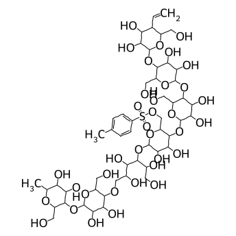 C=CC1C(CO)OC(OC2C(CO)OC(OC3C(CO)OC(OC4C(COS(=O)(=O)c5ccc(C)cc5)OC(OC(C(O)CO)C(O)C(O)COC5C(CO)OC(OC6C(CO)OC(C)C(O)C6O)C(O)C5O)C(O)C4O)C(O)C3O)C(O)C2O)C(O)C1O